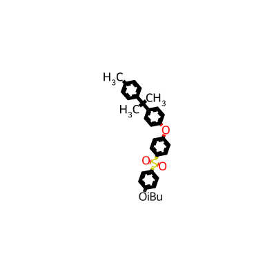 Cc1ccc(C(C)(C)c2ccc(Oc3ccc(S(=O)(=O)c4ccc(OCC(C)C)cc4)cc3)cc2)cc1